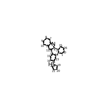 [c]1ccc(-c2nc3ccccc3cc2-c2ccc([SH]3C=CC=C3)cc2)cc1